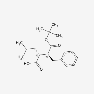 CC(C)C[C@@H](C(=O)O)[C@H](Cc1ccccc1)C(=O)OC(C)(C)C